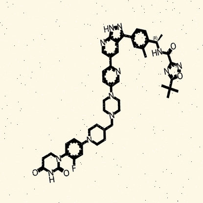 Cc1cc(-c2n[nH]c3ncc(-c4ccc(N5CCN(CC6CCN(c7ccc(N8CCC(=O)NC8=O)c(F)c7)CC6)CC5)cn4)cc23)ccc1[C@@H](C)NC(=O)c1noc(C(C)(C)C)n1